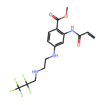 C=CC(=O)Nc1cc(NCCNCC(F)(F)C(F)(F)F)ccc1C(=O)OC